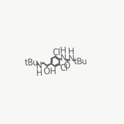 CC(C)(C)NCC(O)c1cc(Cl)c(NC(=O)NC(C)(C)C)c(Cl)c1